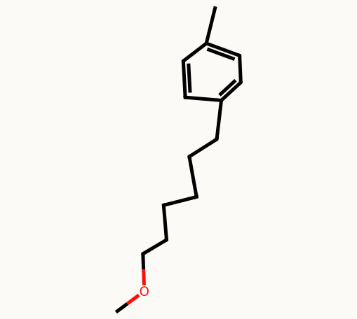 COCCCCCCc1ccc(C)cc1